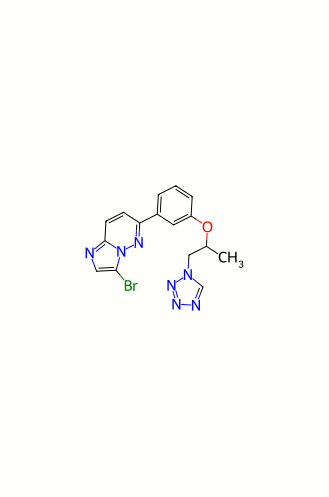 CC(Cn1cnnn1)Oc1cccc(-c2ccc3ncc(Br)n3n2)c1